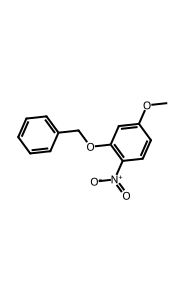 COc1ccc([N+](=O)[O-])c(OCc2ccccc2)c1